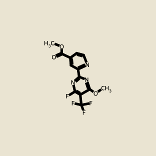 COC(=O)c1ccnc(-c2nc(F)c(C(F)(F)F)c(OC)n2)c1